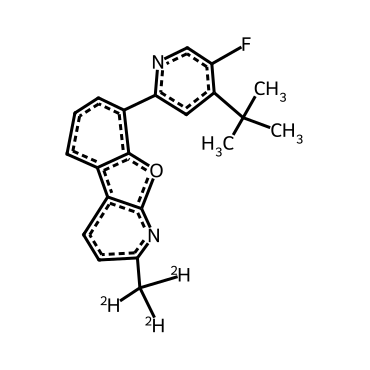 [2H]C([2H])([2H])c1ccc2c(n1)oc1c(-c3cc(C(C)(C)C)c(F)cn3)cccc12